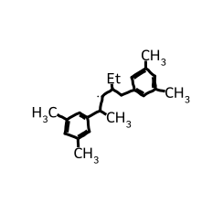 CCC([CH]C(C)c1cc(C)cc(C)c1)Cc1cc(C)cc(C)c1